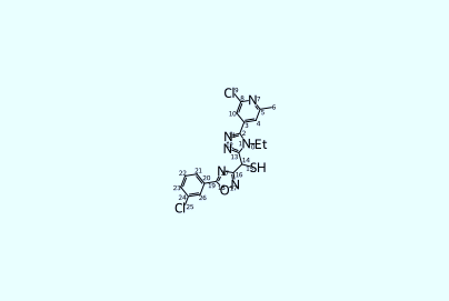 CCn1c(-c2cc(C)nc(Cl)c2)nnc1C(S)c1noc(-c2cccc(Cl)c2)n1